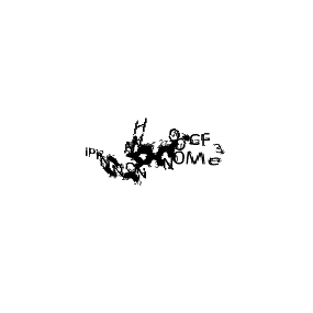 COc1ncc(-c2cc(-c3ncc(CN4CCN(C(C)C)CC4)o3)c3cn[nH]c3c2)cc1C(=O)OCC(F)(F)F